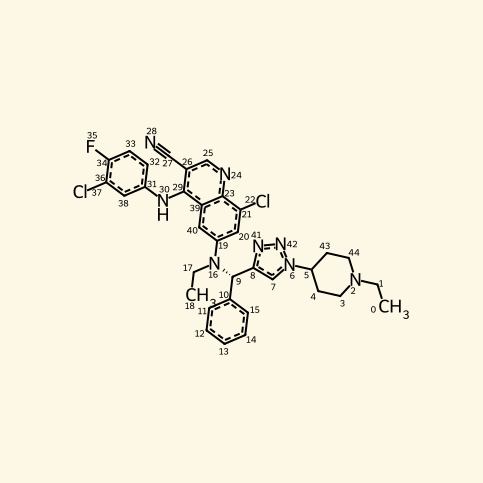 CCN1CCC(n2cc([C@H](c3ccccc3)N(CC)c3cc(Cl)c4ncc(C#N)c(Nc5ccc(F)c(Cl)c5)c4c3)nn2)CC1